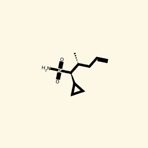 C=CC[C@@H](C)[C@@H](C1CC1)S(N)(=O)=O